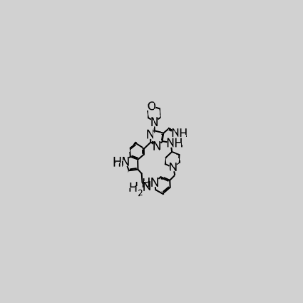 N=Cc1c(NC2CCN(CC3=CNCC=C3)CC2)nc(-c2ccc3[nH]cc(CCN)c3c2)nc1N1CCOCC1